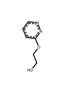 OCCOc1cccnn1